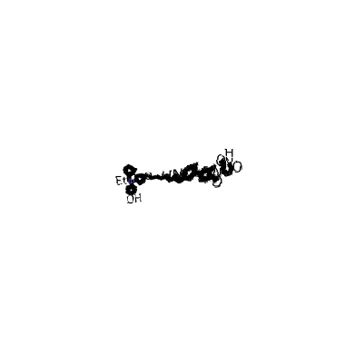 CC/C(=C(\c1ccc(O)cc1)c1ccc(OCCCCCc2cc3cc(-c4ccc5c(c4)CN(C4CCC(=O)NC4=O)C5=O)ccc3[nH]2)cc1)c1ccccc1